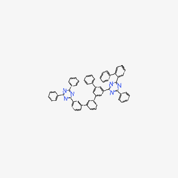 c1ccc(-c2cc(-c3cccc(-c4cccc(-c5nc(-c6ccccc6)nc(-c6ccccc6)n5)c4)c3)cc(-c3nc(-c4ccccc4)nc(-c4ccccc4-c4ccccc4)n3)c2)cc1